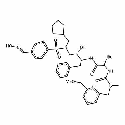 CC[C@H](C)[C@H](NC(=O)N(C)Cc1cccc(COC)n1)C(=O)N[C@@H](Cc1ccccc1)[C@@H](O)CN(CC1CCCC1)S(=O)(=O)c1ccc(C=NO)cc1